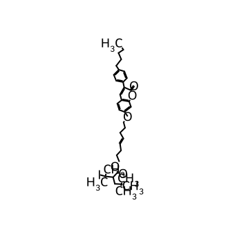 CCCCCc1ccc(-c2cc3ccc(OCCC/C=C/CCCOC(=O)C(CC(C)(C)C)C(C)(C)I)cc3oc2=O)cc1